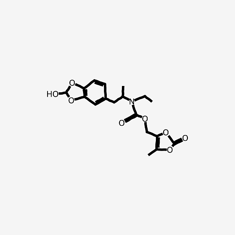 CCN(C(=O)OCc1oc(=O)oc1C)C(C)Cc1ccc2c(c1)OC(O)O2